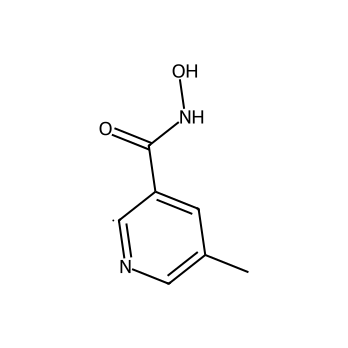 Cc1cn[c]c(C(=O)NO)c1